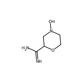 N=C(N)C1CN(O)CCO1